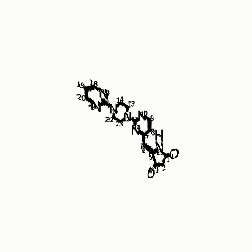 O=C1CC(=O)/C(=C/c2ccnc(N3CCN(c4ncccn4)CC3)n2)N1